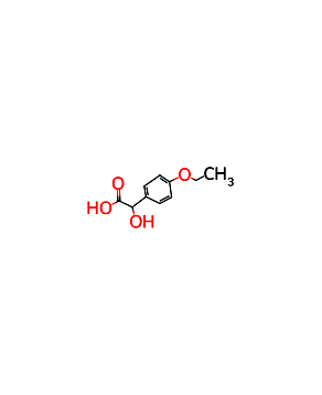 CCOc1ccc(C(O)C(=O)O)cc1